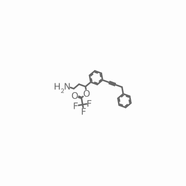 NCCC(OC(=O)C(F)(F)F)c1cccc(C#CCc2ccccc2)c1